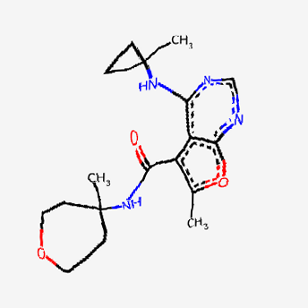 Cc1oc2ncnc(NC3(C)CC3)c2c1C(=O)NC1(C)CCOCC1